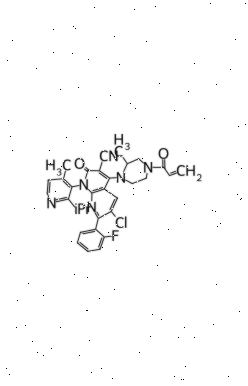 C=CC(=O)N1CCN(c2c(C#N)c(=O)n(-c3c(C)ccnc3C(C)C)c3nc(-c4ccccc4F)c(Cl)cc23)C(C)C1